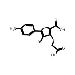 Nc1ccc(-c2sc(C(=O)O)c(OCC(=O)O)c2Br)cc1